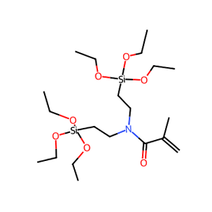 C=C(C)C(=O)N(CC[Si](OCC)(OCC)OCC)CC[Si](OCC)(OCC)OCC